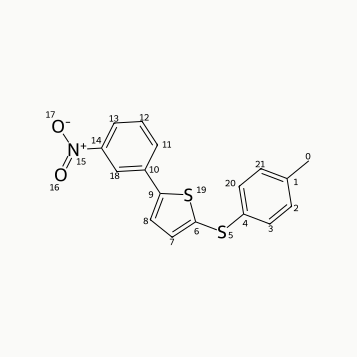 Cc1ccc(Sc2ccc(-c3cccc([N+](=O)[O-])c3)s2)cc1